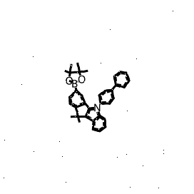 CC1(C)c2ccc(B3OC(C)(C)C(C)(C)O3)cc2-c2c1c1ccccc1n2-c1ccc(-c2ccccc2)cc1